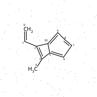 C=CC1=C(C)c2ccccc21